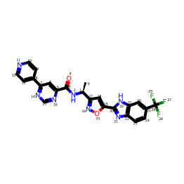 C[C@H](NC(=O)c1cc(-c2ccncc2)ncn1)c1cc(-c2nc3ccc(C(F)(F)F)cc3[nH]2)on1